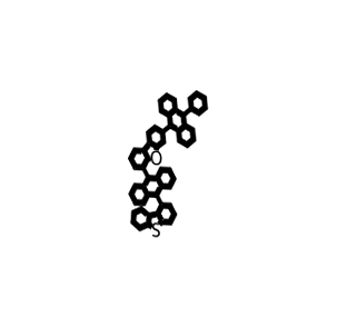 c1ccc(-c2c3ccccc3c(-c3ccc4c(c3)oc3c(-c5c6ccccc6c(-c6cccc7sc8ccccc8c67)c6ccccc56)cccc34)c3ccccc23)cc1